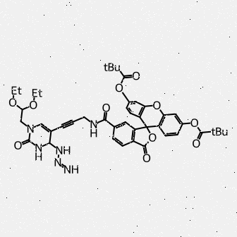 CCOC(CN1C=C(C#CCNC(=O)c2ccc3c(c2)C2(OC3=O)c3ccc(OC(=O)C(C)(C)C)cc3Oc3cc(OC(=O)C(C)(C)C)ccc32)C(NN=N)NC1=O)OCC